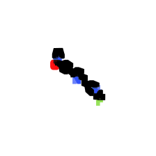 CC(C)(F)CN1CCC(CCc2ccc(-c3ccc(C(=O)N4CCCC4)cc3)cn2)CC1